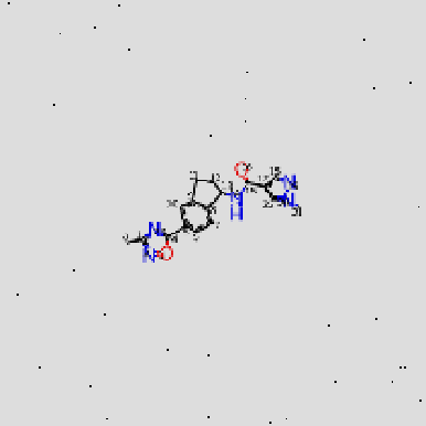 Cc1noc(-c2ccc3c(c2)CCC3NC(=O)c2cnn(C)c2)n1